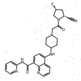 N#C[C@@H]1C[C@H](F)CN1C(=O)CN1CCC(Nc2ccc(C(=O)Nc3ccccn3)c3ncccc23)CC1